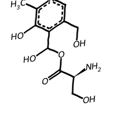 Cc1ncc(CO)c(C(O)OC(=O)[C@@H](N)CO)c1O